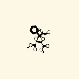 COC(=O)[C@@H]1OC(c2ccccc2)(C(Br)CCl)O[C@H]1C(=O)OC